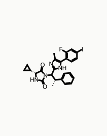 Cc1nc(C([C@@H](C)c2ccccc2)N2C(=O)N[C@H](C3CC3)C2=O)[nH]c1-c1ccc(I)cc1F